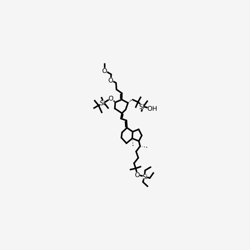 CC[Si](CC)(CC)OC(C)(C)CCC[C@@H](C)C1CCC2/C(=C/C=C3\C[C@@H](CC(C)(C)[Si](C)(C)O)/C(=C/CCOCOC)[C@H](O[Si](C)(C)C(C)(C)C)C3)CCC[C@@]21C